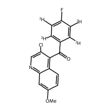 [2H]c1c([2H])c(C(=O)c2c(Cl)cnc3cc(OC)ccc23)c([2H])c([2H])c1F